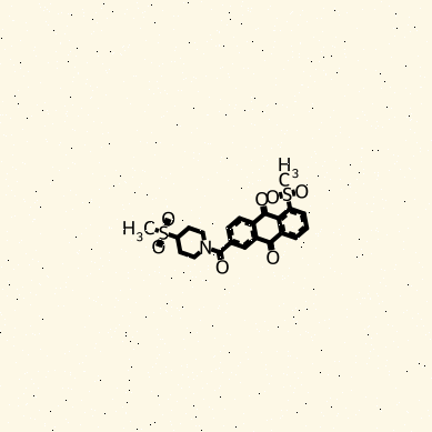 CS(=O)(=O)c1cccc2c1C(=O)c1ccc(C(=O)N3CCC(S(C)(=O)=O)CC3)cc1C2=O